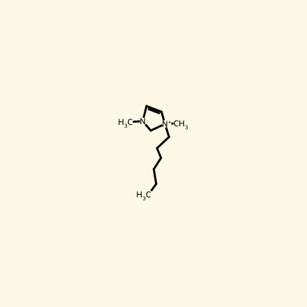 CCCCCC[N+]1(C)C=CN(C)C1